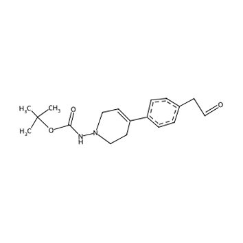 CC(C)(C)OC(=O)NN1CC=C(c2ccc(CC=O)cc2)CC1